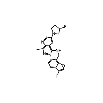 Cc1nnc(N[C@H](C)c2cccc3c(F)coc23)c2cc(N3CC[C@@H](F)C3)cnc12